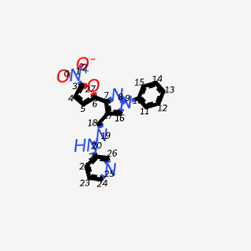 O=[N+]([O-])c1ccc(-c2nn(-c3ccccc3)cc2C=NNc2cccnc2)o1